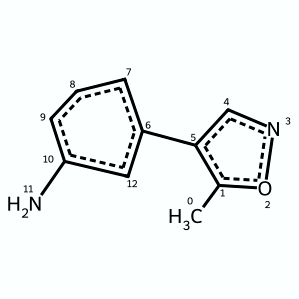 Cc1oncc1-c1cccc(N)c1